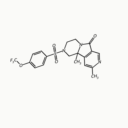 Cc1cc2c(cn1)C(=O)N1CCN(S(=O)(=O)c3ccc(OC(F)(F)F)cc3)CC21C